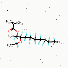 C=C(C)C(=O)OC(F)(C(F)(F)F)C(F)(OC(F)(F)C(F)(F)F)C(F)(F)C(F)(F)C(F)(F)C(F)(F)C(F)(F)C(F)(F)C(F)(F)C(F)(F)F